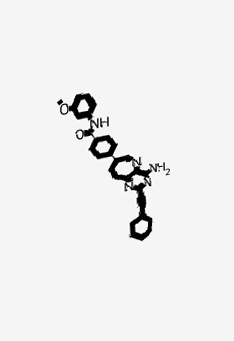 COc1cccc(NC(=O)[C@H]2CC[C@@H](C3C=Nc4c(N)nc(C#CC5CCCCC5)nc4CC3)CC2)c1